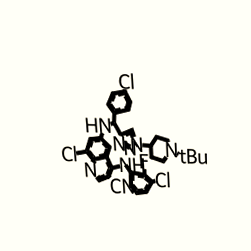 CC(C)(C)N1CCC(n2cc(C(Nc3cc(Cl)c4ncc(C#N)c(Nc5cccc(Cl)c5F)c4c3)c3ccc(Cl)cc3)nn2)CC1